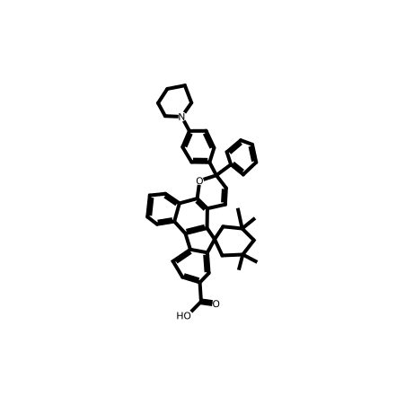 CC1(C)CC(C)(C)CC2(C1)c1cc(C(=O)O)ccc1-c1c2c2c(c3ccccc13)OC(c1ccccc1)(c1ccc(N3CCCCC3)cc1)C=C2